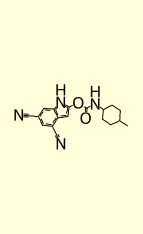 CC1CCC(NC(=O)Oc2cc3c(C#N)cc(C#N)cc3[nH]2)CC1